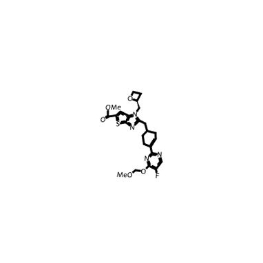 COCOc1nc(C2=CCC(Cc3nc4sc(C(=O)OC)cc4n3C[C@@H]3CCO3)CC2)ncc1F